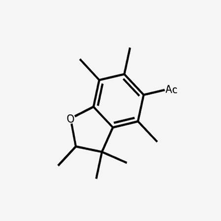 CC(=O)c1c(C)c(C)c2c(c1C)C(C)(C)C(C)O2